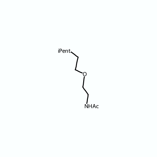 CCCC(C)CCOCCNC(C)=O